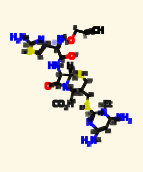 C#CCO/N=C(\C(=O)NC1C(=O)N2C(C(=O)O)=C(CSC3=NC(N)=CC(N)N3CC)CS[C@@H]12)c1csc(N)n1